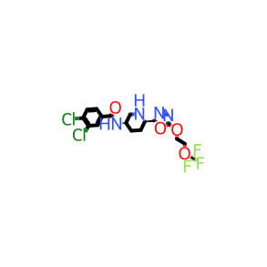 O=C(N[C@H]1CC[C@H](c2nnc(OCCOC(F)(F)F)o2)NC1)c1ccc(Cl)c(Cl)c1